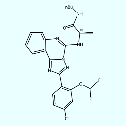 CCCCNC(=O)[C@@H](C)Nc1nc2ccccc2c2nc(-c3ccc(Cl)cc3OC(F)F)nn12